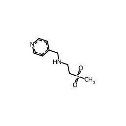 CS(=O)(=O)CCNCc1ccncc1